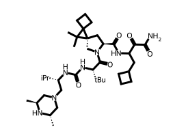 CC(C)[C@@H](CN1C[C@H](C)N[C@@H](C)C1)NC(=O)N[C@H](C(=O)N1C[C@]2(C[C@H]1C(=O)NC(CC1CCC1)C(=O)C(N)=O)C(C)(C)C21CCC1)C(C)(C)C